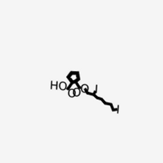 O=C(O)c1ccccc1C(=O)OCC(I)CCCCCI